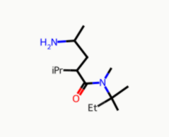 CCC(C)(C)N(C)C(=O)C(CC(C)N)C(C)C